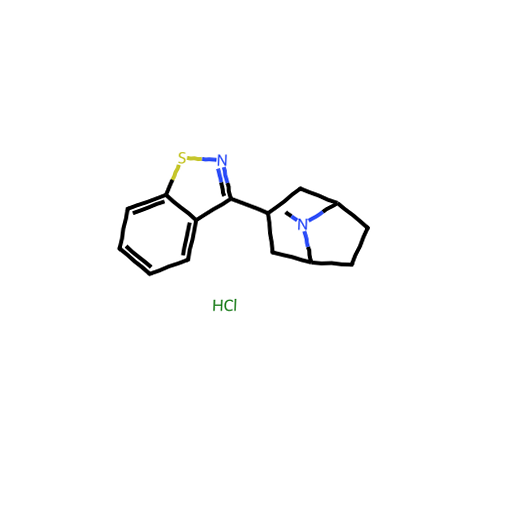 CN1C2CCC1CC(c1nsc3ccccc13)C2.Cl